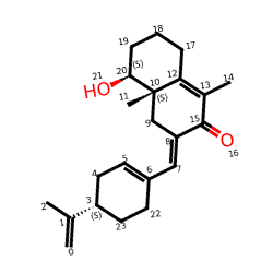 C=C(C)[C@@H]1CC=C(C=C2C[C@@]3(C)C(=C(C)C2=O)CCC[C@@H]3O)CC1